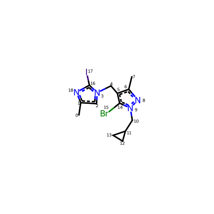 Cc1cn(Cc2c(C)nn(CC3CC3)c2Br)c(I)n1